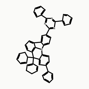 C1=CCC(C2(C3=CCCC=C3)c3cc(-c4ccccc4)ccc3-n3c4ccc(-c5nc(-c6ccccc6)nc(-c6ccccc6)n5)cc4c4cccc2c43)C=C1